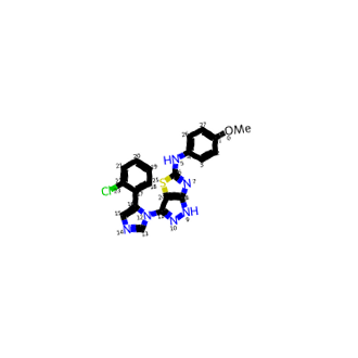 COc1ccc(Nc2nc3[nH]nc(-n4cncc4-c4ccccc4Cl)c3s2)cc1